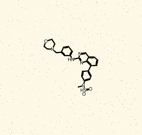 CN(c1ccc(-c2cccc3cnc(Nc4cccc(CN5CCOCC5)c4)nc23)cc1)[SH](=O)=O